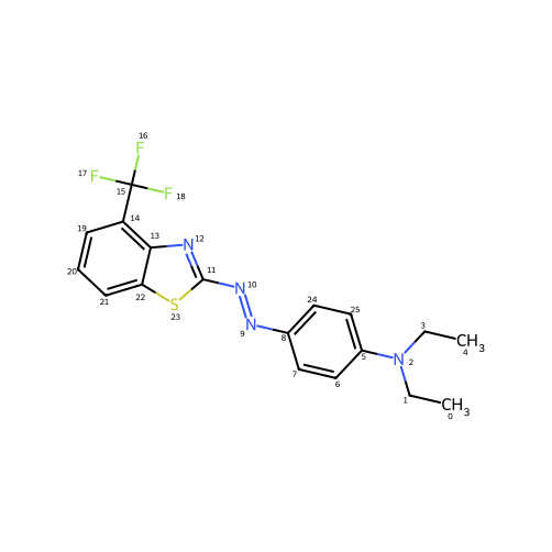 CCN(CC)c1ccc(N=Nc2nc3c(C(F)(F)F)cccc3s2)cc1